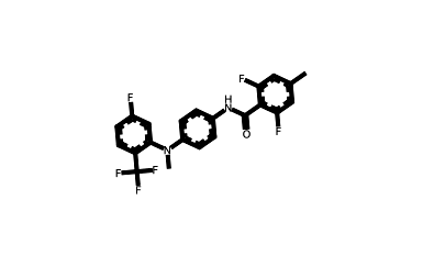 Cc1cc(F)c(C(=O)Nc2ccc(N(C)c3cc(F)ccc3C(F)(F)F)cc2)c(F)c1